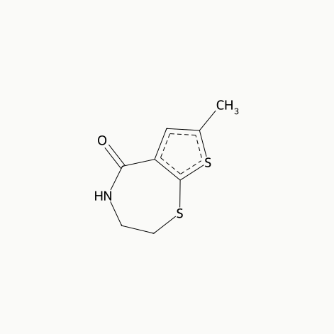 Cc1cc2c(s1)SCCNC2=O